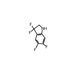 Fc1cc2c(cc1F)C(F)(F)CN2